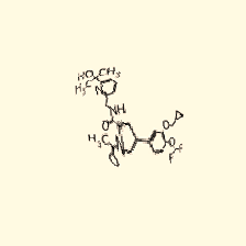 CC(=O)N1CC(c2ccc(OC(F)F)c(OCC3CC3)c2)C[C@@H]1C(=O)NCc1cccc(C(C)(C)O)n1